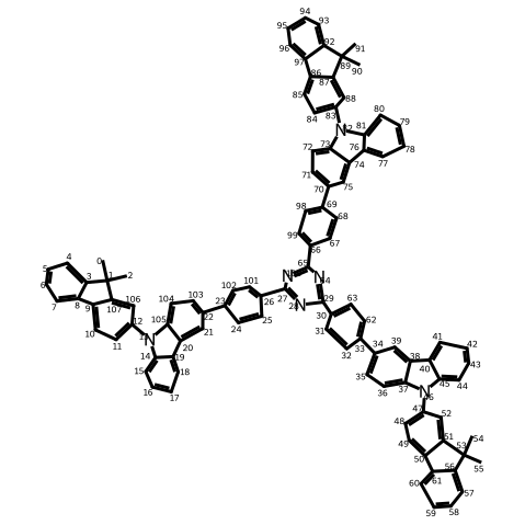 CC1(C)c2ccccc2-c2ccc(-n3c4ccccc4c4cc(-c5ccc(-c6nc(-c7ccc(-c8ccc9c(c8)c8ccccc8n9-c8ccc9c(c8)C(C)(C)c8ccccc8-9)cc7)nc(-c7ccc(-c8ccc9c(c8)c8ccccc8n9-c8ccc9c(c8)C(C)(C)c8ccccc8-9)cc7)n6)cc5)ccc43)cc21